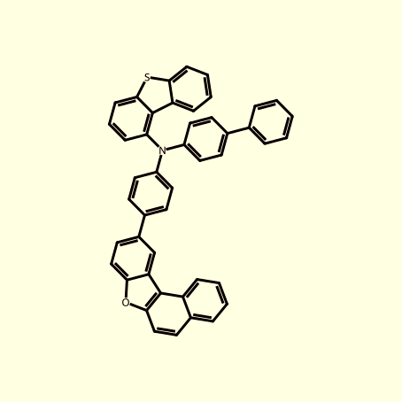 c1ccc(-c2ccc(N(c3ccc(-c4ccc5oc6ccc7ccccc7c6c5c4)cc3)c3cccc4sc5ccccc5c34)cc2)cc1